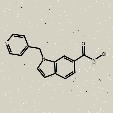 O=C(NO)c1ccc2ccn(Cc3ccncc3)c2c1